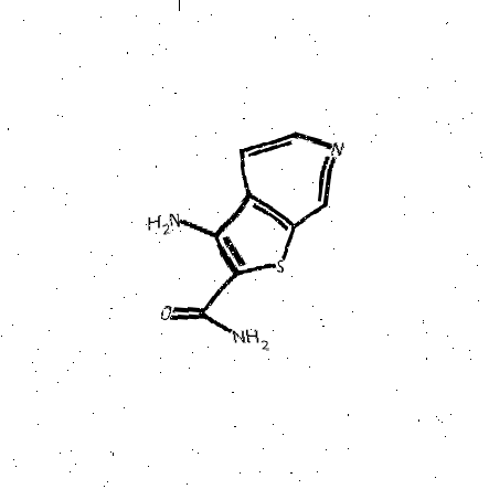 NC(=O)c1sc2cnccc2c1N